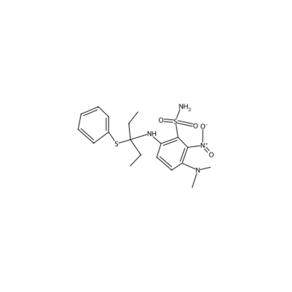 CCC(CC)(Nc1ccc(N(C)C)c([N+](=O)[O-])c1S(N)(=O)=O)Sc1ccccc1